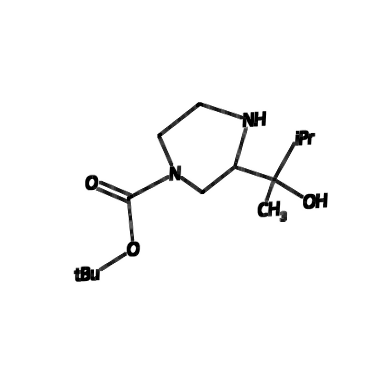 CC(C)C(C)(O)C1CN(C(=O)OC(C)(C)C)CCN1